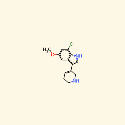 COc1cc(Cl)c2[nH]cc(C3=CCCNC3)c2c1